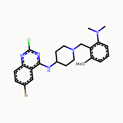 COc1cccc(N(C)C)c1CN1CCC(Nc2nc(Cl)nc3ccc(Br)cc23)CC1